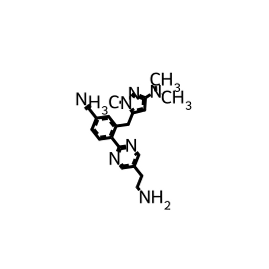 CN(C)c1cc(Cc2cc(C#N)ccc2-c2ncc(CCN)cn2)n(C)n1